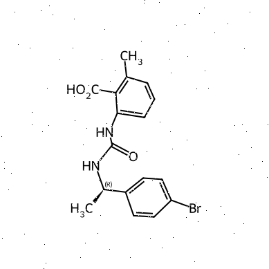 Cc1cccc(NC(=O)N[C@H](C)c2ccc(Br)cc2)c1C(=O)O